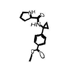 COC(=O)c1ccc(C2(NC(=O)C3CCCN3)CC2)cc1